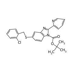 CC(C)(C)OC(=O)n1c(-c2ccccn2)nc2cc(SCc3ccccc3Cl)ccc21